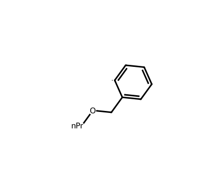 CCCOCc1[c]cccc1